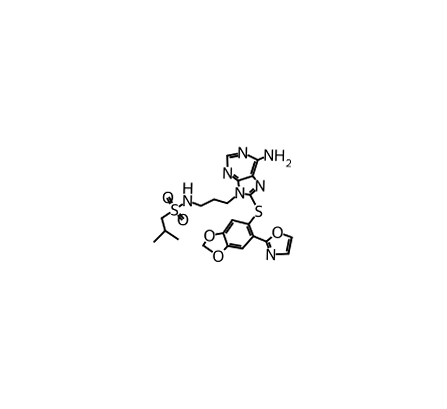 CC(C)CS(=O)(=O)NCCCn1c(Sc2cc3c(cc2-c2ncco2)OCO3)nc2c(N)ncnc21